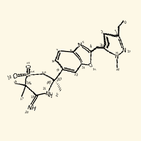 Cc1cc(-c2nc3ccc([C@]4(C)CS(=O)(=O)C(C)(C)C(=N)N4)cc3o2)n(C)n1